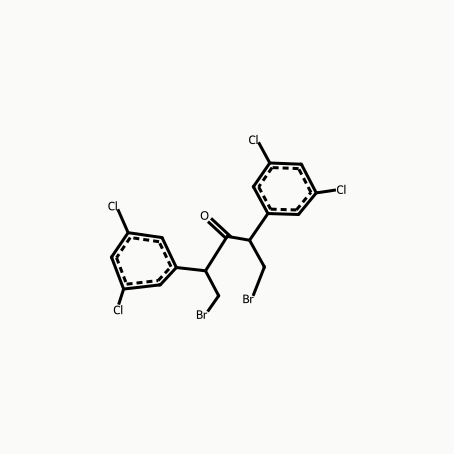 O=C(C(CBr)c1cc(Cl)cc(Cl)c1)C(CBr)c1cc(Cl)cc(Cl)c1